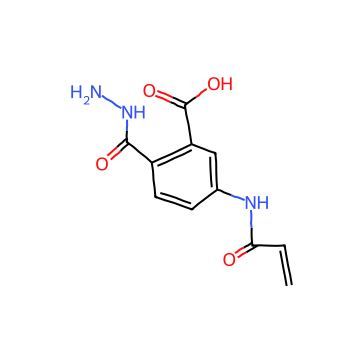 C=CC(=O)Nc1ccc(C(=O)NN)c(C(=O)O)c1